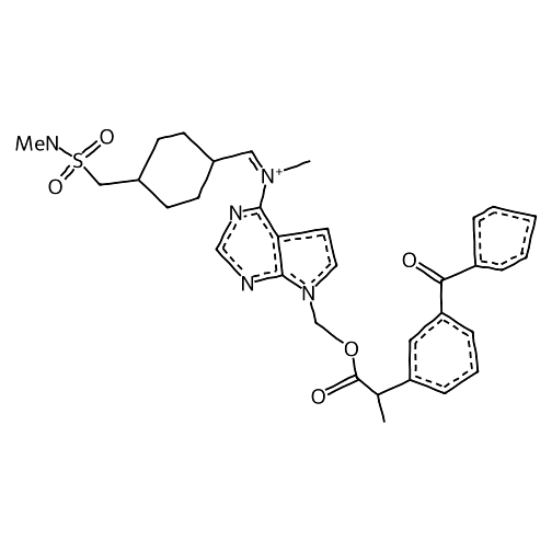 CNS(=O)(=O)CC1CCC(/C=[N+](/C)c2ncnc3c2ccn3COC(=O)C(C)c2cccc(C(=O)c3ccccc3)c2)CC1